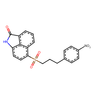 O=C1Nc2ccc(S(=O)(=O)CCCc3ccc([N+](=O)[O-])cc3)c3cccc1c23